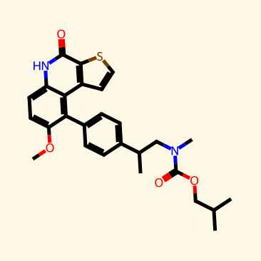 COc1ccc2[nH]c(=O)c3sccc3c2c1-c1ccc(C(C)CN(C)C(=O)OCC(C)C)cc1